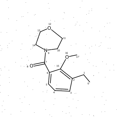 CCc1cccc(C(=O)N2CCOCC2)c1OC